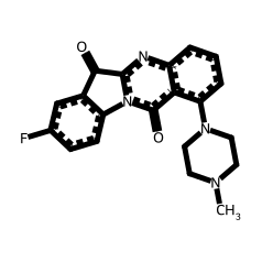 CN1CCN(c2cccc3nc4n(c(=O)c23)-c2ccc(F)cc2C4=O)CC1